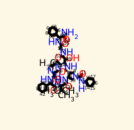 CCC[C@H](NC(=O)[C@@H]1CN(C(=O)Nc2ccccc2)C[C@@H]1NC(=O)[C@@H](NC(=O)[C@@H](NC(=O)c1cnccn1)C1CCCCC1)C(C)(C)C)C(O)C(=O)NCC(=O)N[C@H](C(N)=O)c1ccccc1